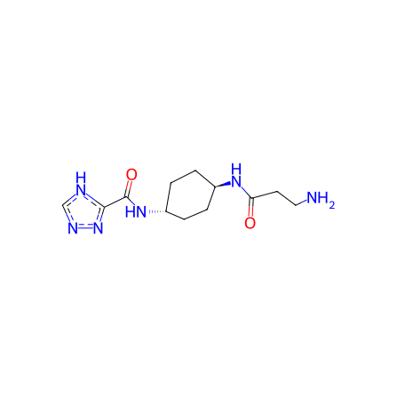 NCCC(=O)N[C@H]1CC[C@H](NC(=O)c2nnc[nH]2)CC1